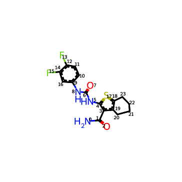 NC(=O)c1c(NC(=O)Nc2ccc(F)c(F)c2)sc2c1CCCC2